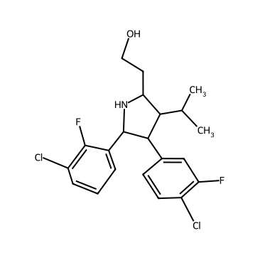 CC(C)C1C(CCO)NC(c2cccc(Cl)c2F)C1c1ccc(Cl)c(F)c1